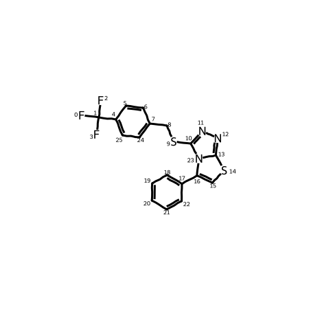 FC(F)(F)c1ccc(CSc2nnc3scc(-c4ccccc4)n23)cc1